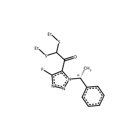 CCSC(SCC)C(=O)c1c(F)nnn1[C@H](C)c1ccccc1